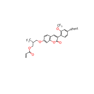 C=CC(=O)OCC(COc1ccc2cc(-c3ccc(CCCCC)cc3OC(F)(F)F)c(=O)oc2c1)C(F)(F)F